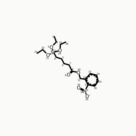 CCO[Si](CCCCC(=O)OCc1ccccc1[N+](=O)[O-])(OCC)OCC